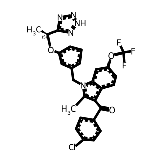 Cc1c(C(=O)c2ccc(Cl)cc2)c2ccc(OC(F)(F)F)cc2n1Cc1cccc(O[C@@H](C)c2nn[nH]n2)c1